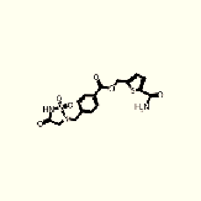 NC(=O)c1ccc(COC(=O)c2ccc(CN3CC(=O)NS3(=O)=O)cc2)s1